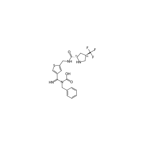 N=C(c1csc(CNC(=O)[C@@H]2C[C@@H](C(F)(F)F)CN2)c1)N(Cc1ccccc1)C(=O)O